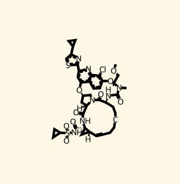 COCCN(C)C(=O)N[C@H]1CCCCCC=C[C@@H]2C[C@@]2(C(=O)NS(=O)(=O)C2CC2)NC(=O)[C@@H]2C[C@@H](Oc3cc(-c4nc(C5CC5)cs4)nc4c(Cl)c(OC)ccc34)CN2C1=O